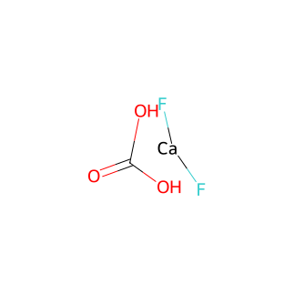 O=C(O)O.[F][Ca][F]